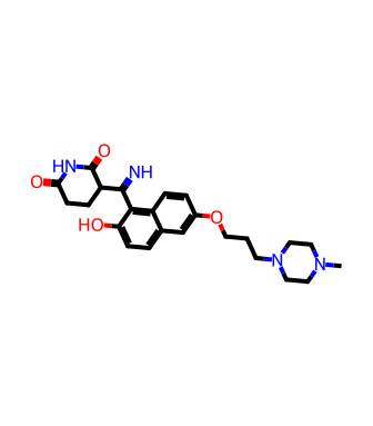 CN1CCN(CCCOc2ccc3c(C(=N)C4CCC(=O)NC4=O)c(O)ccc3c2)CC1